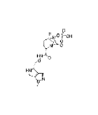 Cn1ncc2c1CN[C@@H]2CONC(=O)[C@@H]1CC[C@@H]2CN1C(=O)N2OS(=O)(=O)O